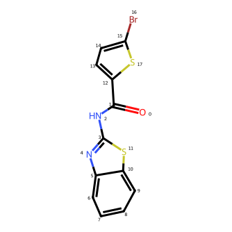 O=C(Nc1nc2ccccc2s1)c1ccc(Br)s1